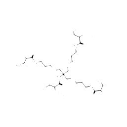 CC(CBr)C(=O)NCCCOCC(COCCCNC(=O)C(C)CBr)(COCCCNC(=O)C(C)CBr)NC(=O)C(C)CBr